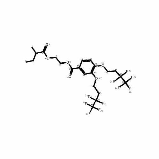 CCC(C)C(=O)OCCOC(=O)c1ccc(OCCC(F)(F)C(F)(F)F)c(OCCC(F)(F)C(F)(F)F)c1